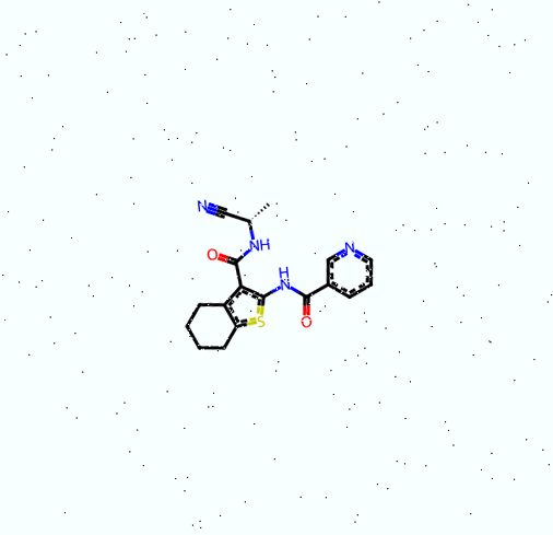 C[C@@H](C#N)NC(=O)c1c(NC(=O)c2cccnc2)sc2c1CCCC2